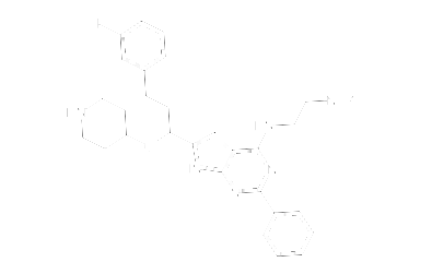 CC(=O)NCCNc1nc(-c2ccccc2)nc2[nH]c(C(CCc3cccc(Cl)c3)OC3CCNCC3)cc12